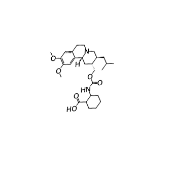 COc1cc2c(cc1OC)[C@H]1C[C@@H](COC(=O)NC3CCCCC3C(=O)O)[C@H](CC(C)C)CN1CC2